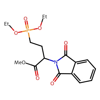 CCOP(=O)(CCC(C(=O)OC)N1C(=O)c2ccccc2C1=O)OCC